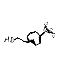 BCCc1ccc([N+](=O)[O-])cc1